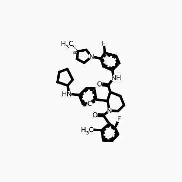 Cc1cccc(F)c1C(=O)N1CCCC(C(=O)Nc2ccc(F)c(N3CC[C@H](C)C3)c2)C1c1ccc(NC2CCCC2)cc1